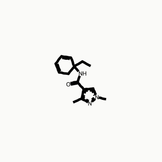 CCC1(NC(=O)c2cn(C)nc2C)C=CC=CC1